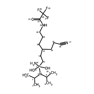 CC(C)N(C(C)C)P(N)(O)(O)CCC(CCC#N)CCCNC(=O)C(F)(F)F